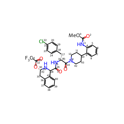 COC(=O)Nc1ccccc1C1CCN(C(=O)[C@@H](Cc2ccc(Cl)cc2)NC(=O)C2N[C@@H](OC(=O)C(F)(F)F)Cc3ccccc32)CC1